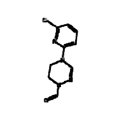 O=CN1CCN(c2cccc(Cl)n2)C=N1